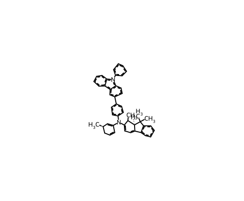 CC1C(N(C2=C[C@H](C)CC=C2)c2ccc(-c3ccc4c(c3)c3ccccc3n4-c3ccccc3)cc2)=CC=C2c3ccccc3C(C)(C)[C@@H]21